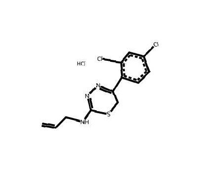 C=CCNC1=NN=C(c2ccc(Cl)cc2Cl)CS1.Cl